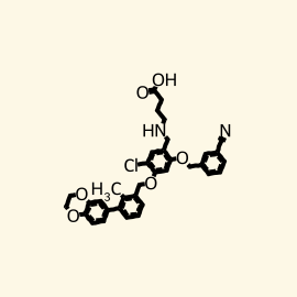 Cc1c(COc2cc(OCc3cccc(C#N)c3)c(CNCCCC(=O)O)cc2Cl)cccc1-c1ccc2c(c1)OCCO2